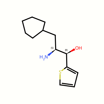 N[C@@H](CC1CCCCC1)[C@@H](O)c1cccs1